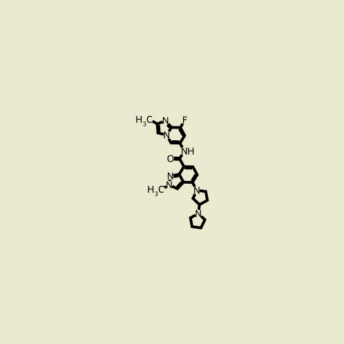 Cc1cn2cc(NC(=O)c3ccc(N4CCC(N5CCCC5)C4)c4cn(C)nc34)cc(F)c2n1